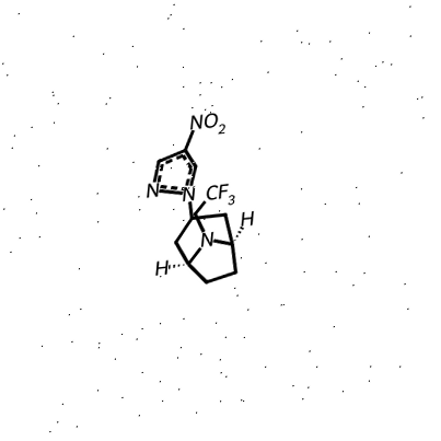 O=[N+]([O-])c1cnn(C2C[C@H]3CC[C@@H](C2)N3CC(F)(F)F)c1